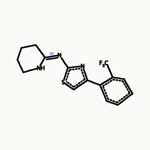 FC(F)(F)c1ccccc1-c1csc(/N=C2/CCCCN2)n1